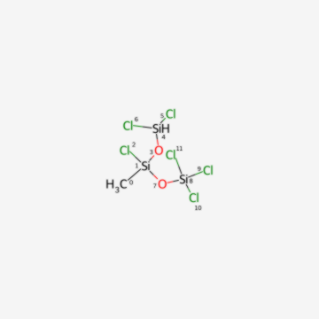 C[Si](Cl)(O[SiH](Cl)Cl)O[Si](Cl)(Cl)Cl